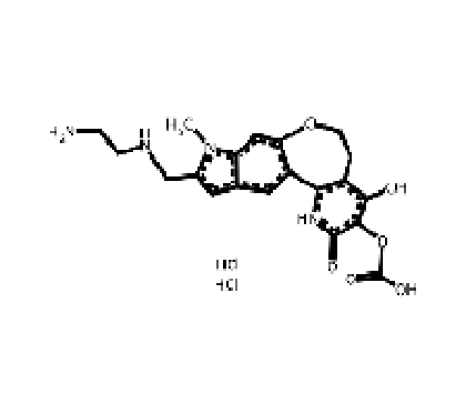 Cl.Cl.Cn1c(CNCCN)cc2cc3c(cc21)OCCc1c-3[nH]c(=O)c(OC(=O)O)c1O